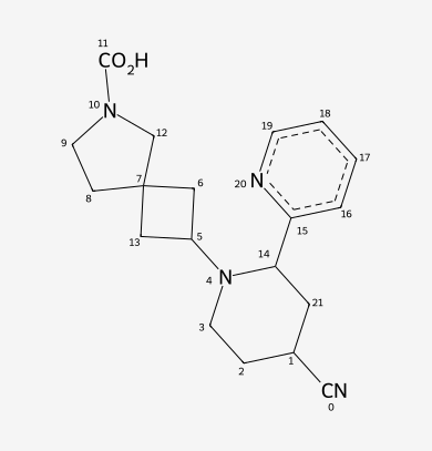 N#CC1CCN(C2CC3(CCN(C(=O)O)C3)C2)C(c2ccccn2)C1